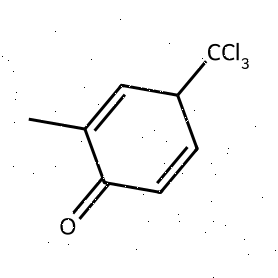 CC1=CC(C(Cl)(Cl)Cl)C=CC1=O